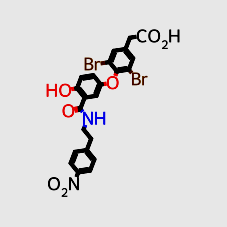 O=C(O)Cc1cc(Br)c(Oc2ccc(O)c(C(=O)NCCc3ccc([N+](=O)[O-])cc3)c2)c(Br)c1